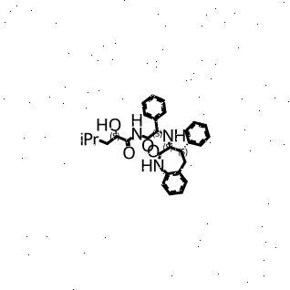 CC(C)C[C@H](O)C(=O)NC(=O)[C@@H](N[C@@H]1C(=O)Nc2ccccc2C[C@H]1c1ccccc1)c1ccccc1